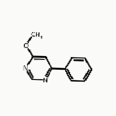 COc1cc(-c2ccccc2)ncn1